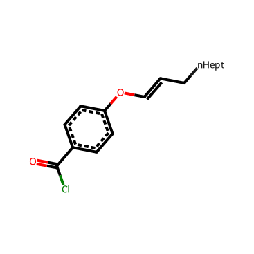 CCCCCCCC/C=C/Oc1ccc(C(=O)Cl)cc1